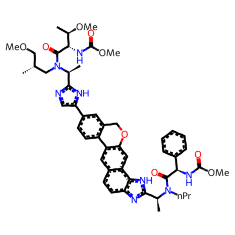 CCCN(C(=O)[C@H](NC(=O)OC)c1ccccc1)[C@@H](C)c1nc2ccc3cc4c(cc3c2[nH]1)OCc1cc(-c2cnc([C@H](C)N(C[C@H](C)COC)C(=O)[C@@H](NC(=O)OC)[C@@H](C)OC)[nH]2)ccc1-4